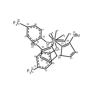 C[CH]=[Zr]([CH3])([CH3])([CH3])([CH3])([O]c1ccc(C(F)(F)F)cc1)([O]c1ccc(C(F)(F)F)cc1)([C]1=C(C(C)(C)C)C=CC1)[C]1=C(C(C)(C)C)C=CC1